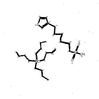 CCCC[N+](CCCC)(CCCC)CCCC.O=S(=O)(O)CCCCCCc1ccsc1